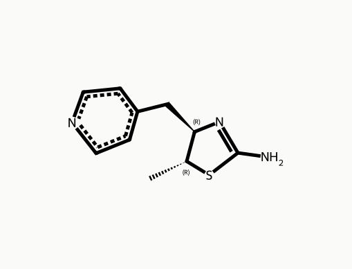 C[C@H]1SC(N)=N[C@@H]1Cc1ccncc1